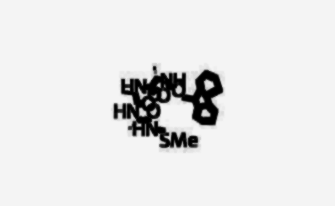 CSCNC(=O)[C@H](C)NC(=O)[C@@H](C)NC(=O)[C@H](C)NC(=O)OCC1c2ccccc2-c2ccccc21